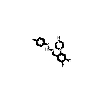 Cc1ccc(SN/N=C/c2cc(F)c(Cl)cc2N2CCNCC2)cc1